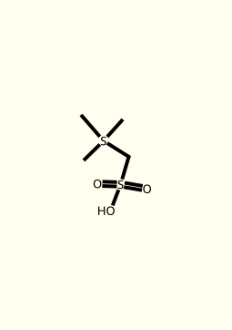 CS(C)(C)CS(=O)(=O)O